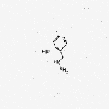 Br.PPCc1ccccc1